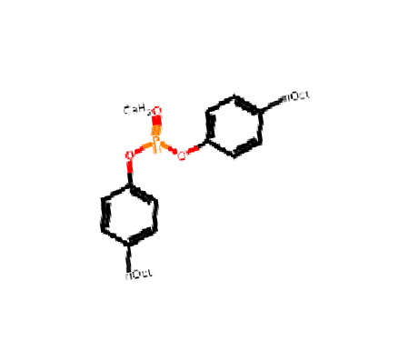 CCCCCCCCc1ccc(O[PH](=O)Oc2ccc(CCCCCCCC)cc2)cc1.[CaH2]